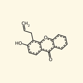 C=CCc1c(O)ccc2c(=O)c3ccccc3oc12